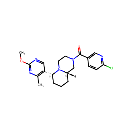 COc1ncc([C@H]2CCC[C@H]3CN(C(=O)c4ccc(Cl)nc4)CCN32)c(C)n1